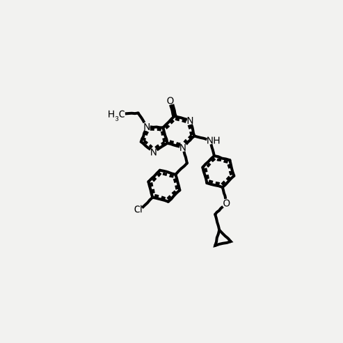 CCn1cnc2c1c(=O)nc(Nc1ccc(OCC3CC3)cc1)n2Cc1ccc(Cl)cc1